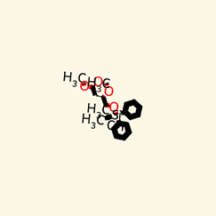 COC(=O)C[C@@H](CO[Si](c1ccccc1)(c1ccccc1)C(C)(C)C)OC